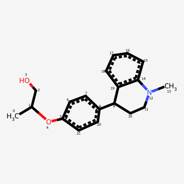 CC(CO)Oc1ccc(C2CCN(C)c3ccccc32)cc1